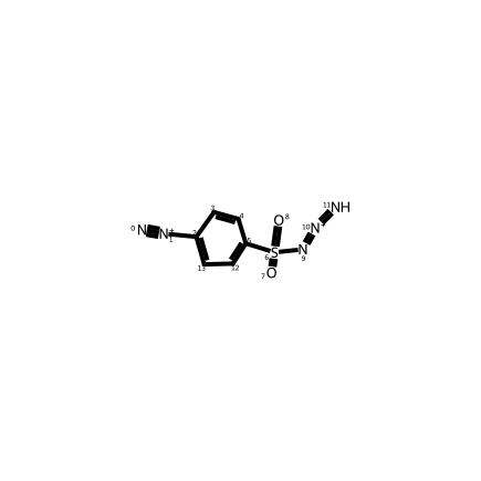 N#[N+]c1ccc(S(=O)(=O)N=[N+]=N)cc1